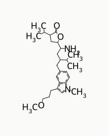 COCCCc1cn(C)c2ccc(CC(CC(N)C3CC(C(C)C)C(=O)O3)C(C)C)cc12